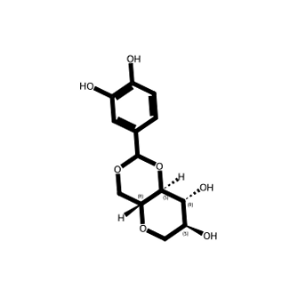 Oc1ccc(C2OC[C@H]3O[CH][C@H](O)[C@@H](O)[C@@H]3O2)cc1O